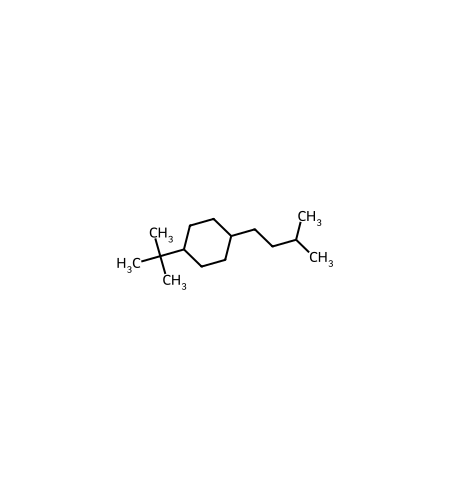 CC(C)CCC1CCC(C(C)(C)C)CC1